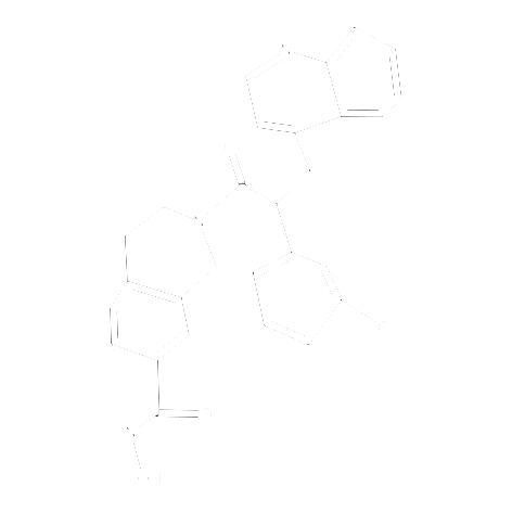 O=C(NO)c1ccc2c(c1)CN(C(=O)/C(=C\c1ccnc3ccccc13)c1cccc(Cl)c1)CC2